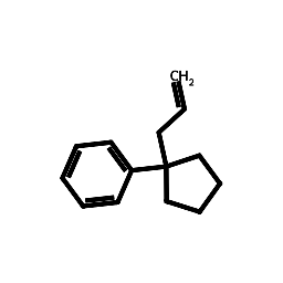 C=CCC1(c2ccccc2)CCCC1